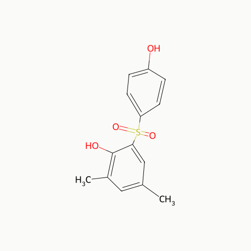 Cc1cc(C)c(O)c(S(=O)(=O)c2ccc(O)cc2)c1